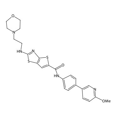 COc1ccc(-c2ccc(NC(=O)c3cc4sc(NCCN5CCOCC5)nc4s3)cc2)cn1